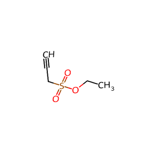 C#CCS(=O)(=O)OCC